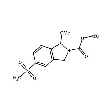 COC1c2ccc(S(C)(=O)=O)cc2CN1C(=O)OC(C)(C)C